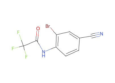 N#Cc1ccc(NC(=O)C(F)(F)F)c(Br)c1